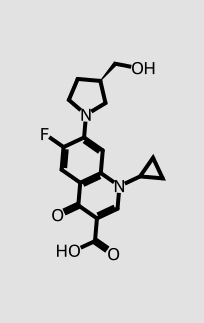 O=C(O)c1cn(C2CC2)c2cc(N3CC[C@@H](CO)C3)c(F)cc2c1=O